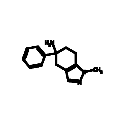 Cn1ncc2c1CCC(N)(c1ccccc1)C2